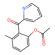 CC(=O)Oc1cccc(C)c1C(=O)c1ccccn1